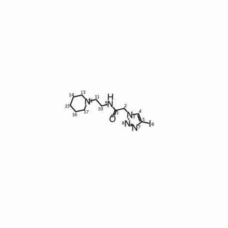 O=C(Cn1cc(I)nn1)NCCN1CCCCC1